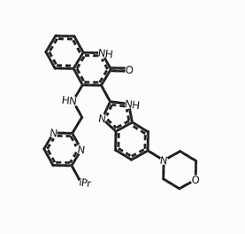 CC(C)c1ccnc(CNc2c(-c3nc4ccc(N5CCOCC5)cc4[nH]3)c(=O)[nH]c3ccccc23)n1